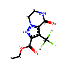 CCOC(=O)c1nn2c(c1C(F)(F)F)C(=O)NCC2